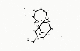 CCC1CC2CCC3(OCCCCO3)C(C1)C2